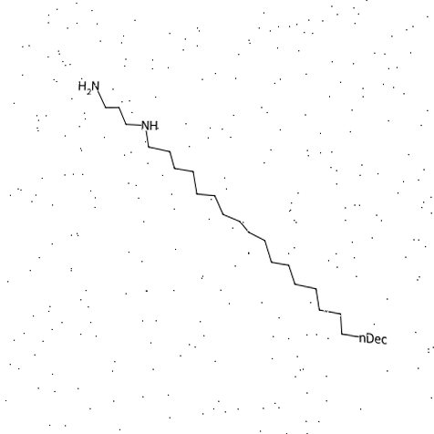 CCCCCCCCCCCCCCCCCCCCCCCCCCCNCCCN